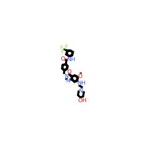 COc1cc2c(Oc3cc(C(=O)Nc4cccc(C(F)(F)F)c4)ccc3C)ncnc2cc1NCCN1CCC(O)CC1